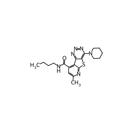 CCCCNC(=O)c1cc(C)nc2sc3c(N4CCCCC4)nnnc3c12